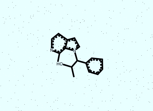 Cc1nccc2ccn(C(c3ccccc3)C(C)O)c12